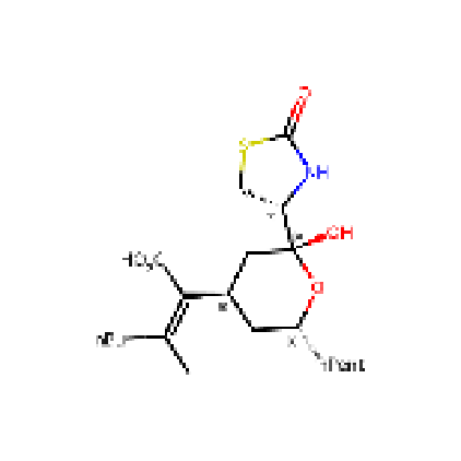 CCCCC[C@@H]1C[C@@H](C(C(=O)O)=C(C)CCCC)C[C@](O)([C@@H]2CSC(=O)N2)O1